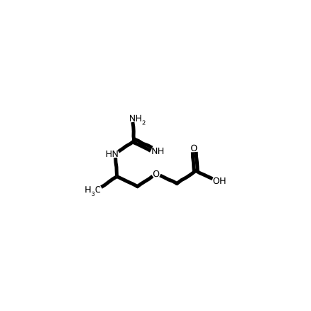 CC(COCC(=O)O)NC(=N)N